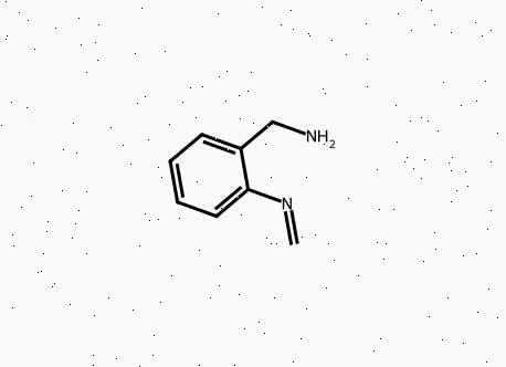 C=Nc1ccccc1CN